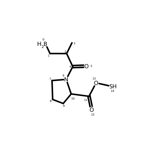 BCC(C)C(=O)N1CCCC1C(=O)OS